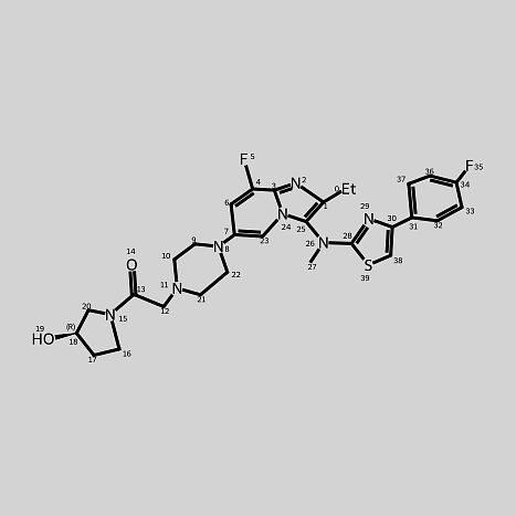 CCc1nc2c(F)cc(N3CCN(CC(=O)N4CC[C@@H](O)C4)CC3)cn2c1N(C)c1nc(-c2ccc(F)cc2)cs1